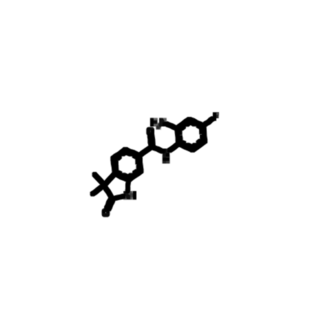 CC1(C)C(=O)Nc2cc(C(=O)Nc3ccc(F)cc3N)ccc21